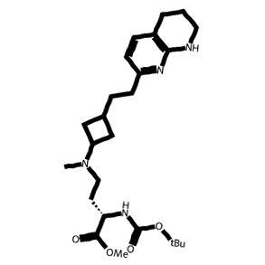 COC(=O)[C@H](CCN(C)C1CC(CCc2ccc3c(n2)NCCC3)C1)NC(=O)OC(C)(C)C